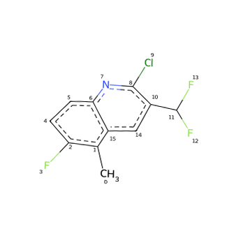 Cc1c(F)ccc2nc(Cl)c(C(F)F)cc12